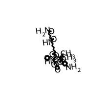 CC(C)CN(C[C@@H](OC(=O)CCCCCNC(=O)CCCC(N)=O)[C@H](Cc1ccccc1)NC(=O)O[C@H]1CCOC1)S(=O)(=O)c1ccc(N)cc1